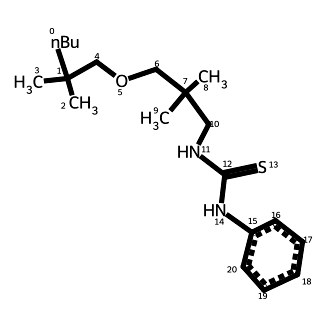 CCCCC(C)(C)COCC(C)(C)CNC(=S)Nc1ccccc1